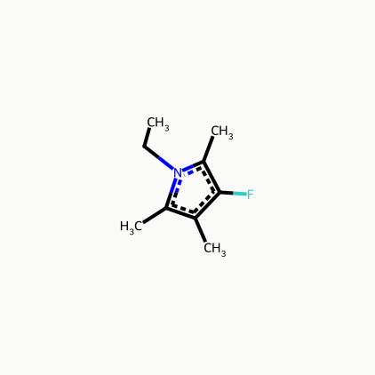 CCn1c(C)c(C)c(F)c1C